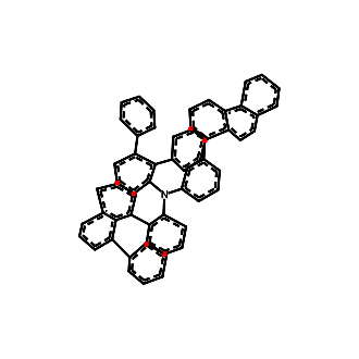 c1ccc(-c2cccc(N(c3cccc(-c4cccc5c4ccc4ccccc45)c3)c3ccccc3-c3cccc4cccc(-c5ccccc5)c34)c2-c2ccccc2)cc1